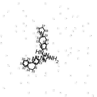 Nc1nc(Nc2ccc3c(c2)CC[C@@H](N2CCCC2)CC3)n(-c2cc3c(nn2)-c2ccccc2CCC3)n1